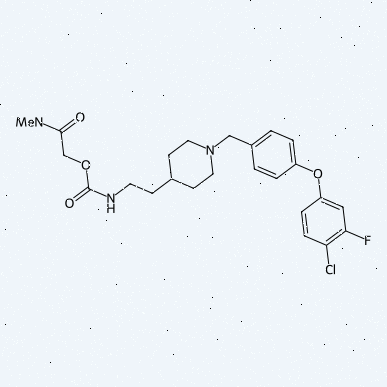 CNC(=O)COC(=O)NCCC1CCN(Cc2ccc(Oc3ccc(Cl)c(F)c3)cc2)CC1